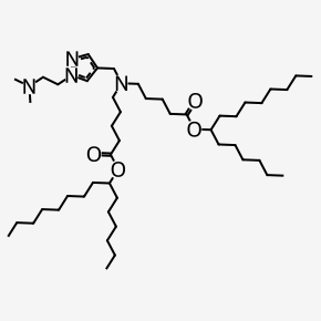 CCCCCCCCC(CCCCCC)OC(=O)CCCCN(CCCCC(=O)OC(CCCCCC)CCCCCCCC)Cc1cnn(CCN(C)C)c1